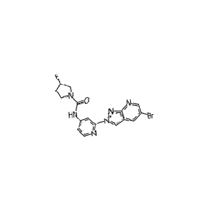 O=C(Nc1ccnc(-n2cc3cc(Br)cnc3n2)c1)N1CC[C@@H](F)C1